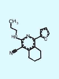 CCCNc1nc(-c2ccco2)c2c(c1C#N)CCCC2